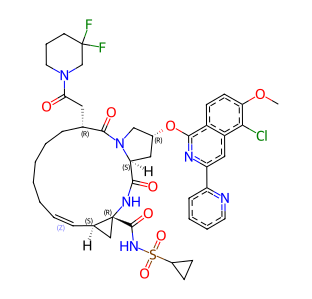 COc1ccc2c(O[C@@H]3C[C@H]4C(=O)N[C@]5(C(=O)NS(=O)(=O)C6CC6)C[C@H]5/C=C\CCCCC[C@H](CC(=O)N5CCCC(F)(F)C5)C(=O)N4C3)nc(-c3ccccn3)cc2c1Cl